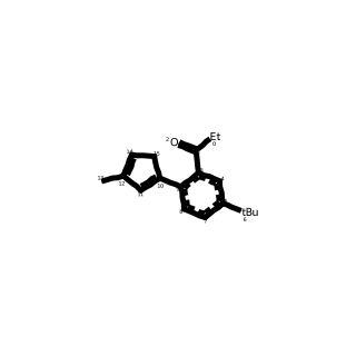 CCC(=O)c1cc(C(C)(C)C)ccc1C1=CC(C)=CC1